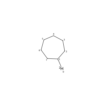 [2H][C]1CCCCCC1